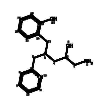 NCC(O)CN(Cc1ccccn1)Cc1ccccc1O